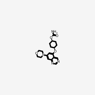 NC(=O)O[C@H]1CC[C@@H](Oc2cc(N3CCOCC3)cc3ncncc23)CC1